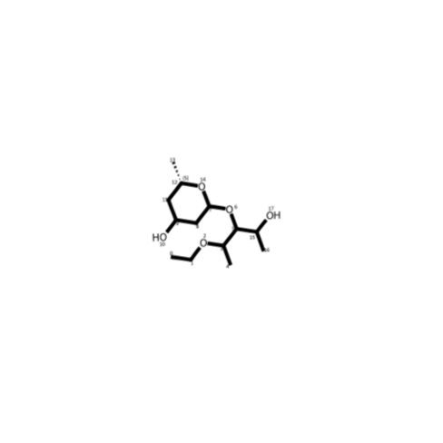 CCOC(C)C(OC1CC(O)C[C@H](C)O1)C(C)O